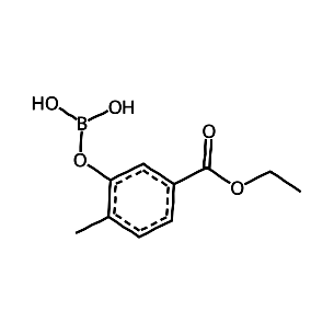 CCOC(=O)c1ccc(C)c(OB(O)O)c1